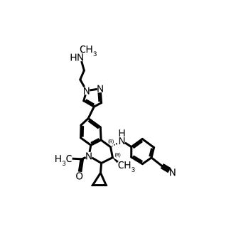 CNCCn1cc(-c2ccc3c(c2)[C@H](Nc2ccc(C#N)cc2)[C@@H](C)C(C2CC2)N3C(C)=O)cn1